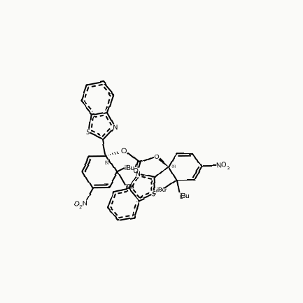 CCC(C)C1(C(C)CC)C=C([N+](=O)[O-])C=C[C@@]1(OC(=O)O[C@@]1(c2nc3ccccc3s2)C=CC([N+](=O)[O-])=CC1(C(C)CC)C(C)CC)c1nc2ccccc2s1